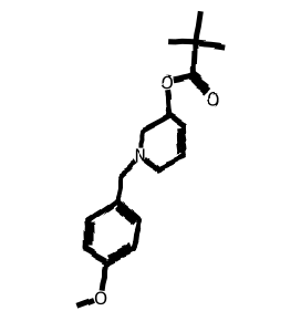 COc1ccc(CN2CC=CC(OC(=O)C(C)(C)C)C2)cc1